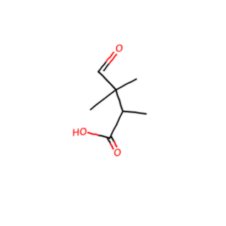 CC(C(=O)O)C(C)(C)C=O